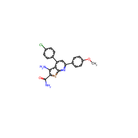 COc1ccc(-c2cc(-c3ccc(Cl)cc3)c3c(N)c(C(N)=O)sc3n2)cc1